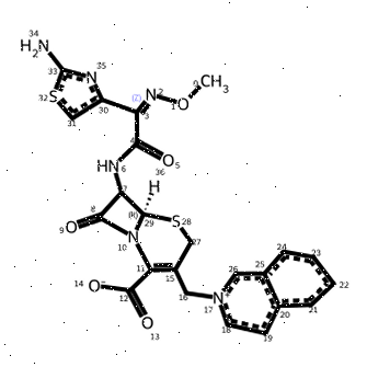 CO/N=C(\C(=O)NC1C(=O)N2C(C(=O)[O-])=C(C[n+]3ccc4ccccc4c3)CS[C@H]12)c1csc(N)n1